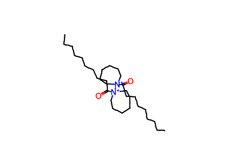 CCCCCCCCCC(=O)[N+]1([N+]2(C(=O)CCCCCCCC)CCCCCC2)CCCCCC1